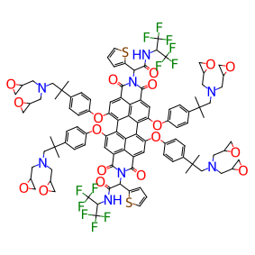 CC(C)(CN(CC1CO1)CC1CO1)c1ccc(Oc2cc3c4c(cc(Oc5ccc(C(C)(C)CN(CC6CO6)CC6CO6)cc5)c5c6c(Oc7ccc(C(C)(C)CN(CC8CO8)CC8CO8)cc7)cc7c8c(cc(Oc9ccc(C(C)(C)CN(CC%10CO%10)CC%10CO%10)cc9)c(c2c45)c86)C(=O)N(C(C(=O)NC(C(F)(F)F)C(F)(F)F)c2cccs2)C7=O)C(=O)N(C(C(=O)NC(C(F)(F)F)C(F)(F)F)c2cccs2)C3=O)cc1